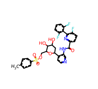 Cc1ccc(S(=O)(=O)OCC2OC(c3ccncc3NC(=O)c3ccc(F)c(-c4c(F)cccc4F)n3)CC(O)C2O)cc1